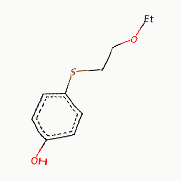 CCOCCSc1ccc(O)cc1